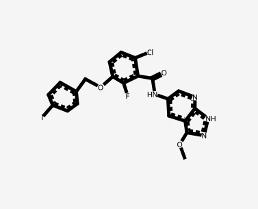 COc1n[nH]c2ncc(NC(=O)c3c(Cl)ccc(OCc4ccc(I)cc4)c3F)cc12